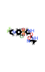 N#CC1(NC(=O)O[C@H]2C[C@@H](S(=O)(=O)c3ccc(N4CCC(F)(F)C4)cc3Cl)CN2)CC1